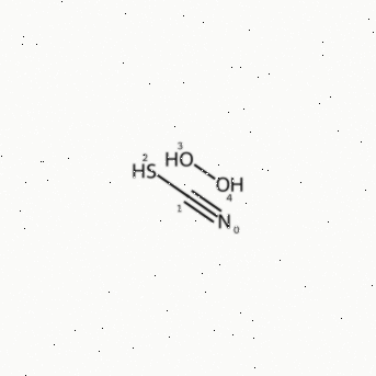 N#CS.OO